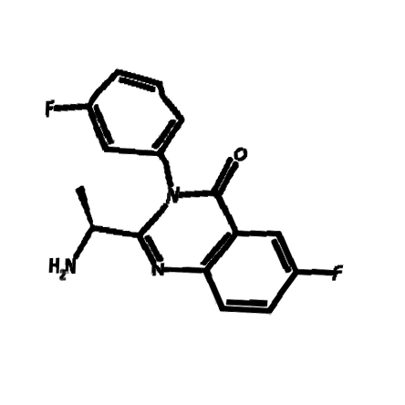 C[C@H](N)c1nc2ccc(F)cc2c(=O)n1-c1cccc(F)c1